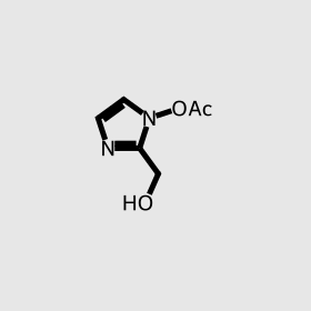 CC(=O)On1ccnc1CO